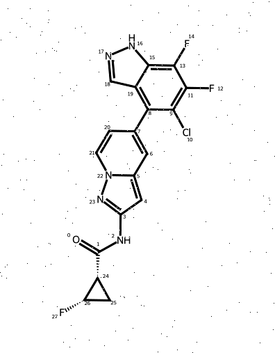 O=C(Nc1cc2cc(-c3c(Cl)c(F)c(F)c4[nH]ncc34)ccn2n1)[C@@H]1C[C@@H]1F